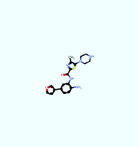 Cc1nc(C(=O)Nc2cc(-c3ccoc3)ccc2N)sc1N1CCNCC1